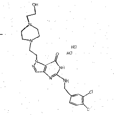 Cl.Cl.O=c1[nH]c(NCc2ccc(Cl)c(Cl)c2)nc2cnn(CCN3CCN(CCO)CC3)c12